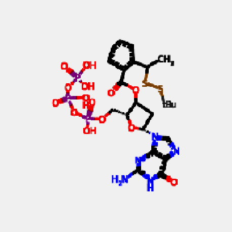 CC(SSC(C)(C)C)c1ccccc1C(=O)OC1C[C@H](n2cnc3c(=O)[nH]c(N)nc32)O[C@@H]1COP(=O)(O)OP(=O)(O)OP(=O)(O)O